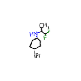 CC(N[C@H]1CC[C@H](C(C)C)CC1)C(F)F